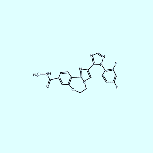 CNC(=O)c1ccc2c(c1)OCCn1cc(-c3ncnn3-c3ccc(F)cc3F)nc1-2